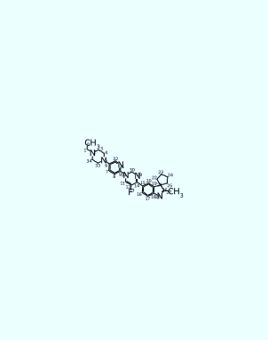 CCN1CCN(c2ccc(N3C=C(F)C(c4ccc5c(c4)C4(CCCC4)C(C)=N5)=NC3)nc2)CC1